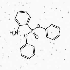 Nc1ccccc1P(=O)(Oc1ccccc1)Oc1ccccc1